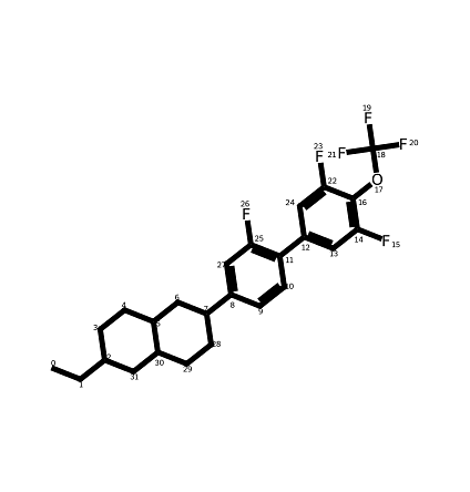 CCC1CCC2CC(c3ccc(-c4cc(F)c(OC(F)(F)F)c(F)c4)c(F)c3)CCC2C1